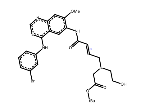 COc1cc2ncnc(Nc3cccc(Br)c3)c2cc1NC(=O)/C=C/CN(CCO)CC(=O)OC(C)(C)C